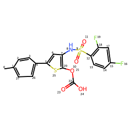 Cc1ccc(-c2cc(NS(=O)(=O)c3ccc(F)cc3F)c(OC(=O)O)s2)cc1